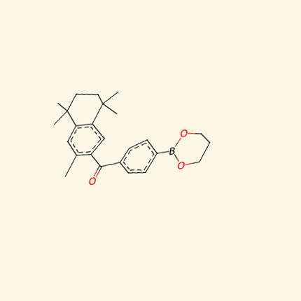 Cc1cc2c(cc1C(=O)c1ccc(B3OCCCO3)cc1)C(C)(C)CCC2(C)C